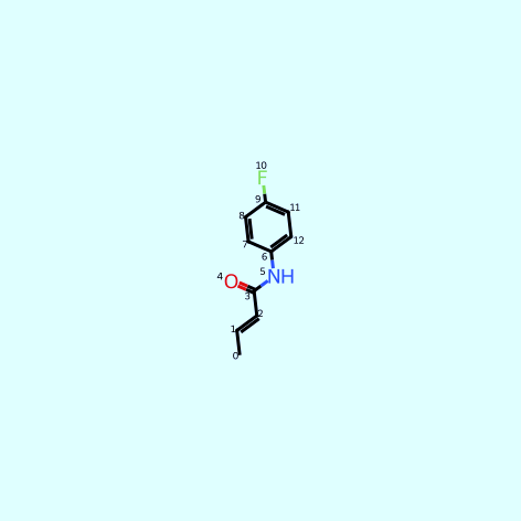 C/C=C/C(=O)Nc1ccc(F)cc1